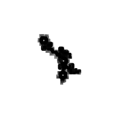 CCc1cc2c(C(=O)NC)c(-c3ccc(F)cc3)oc2nc1N(CCCCCS(=O)(=O)c1ccccc1)[SH](=O)=O